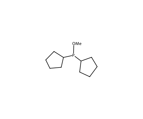 COP(C1CCCC1)C1CCCC1